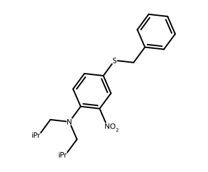 CC(C)CN(CC(C)C)c1ccc(SCc2ccccc2)cc1[N+](=O)[O-]